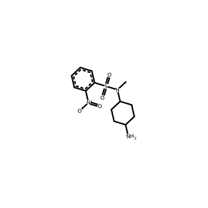 CN(C1CCC(N)CC1)S(=O)(=O)c1ccccc1[N+](=O)[O-]